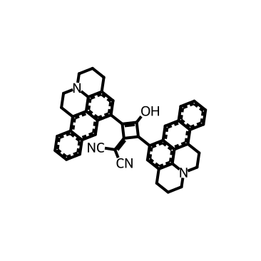 N#CC(C#N)=C1C(c2cc3c4c5c(c6ccccc6cc25)CCN4CCC3)=C(O)C1c1cc2c3c4c(c5ccccc5cc14)CCN3CCC2